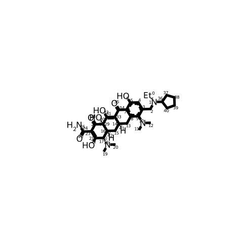 CCN(Cc1cc(O)c2c(c1N(C)C)C[C@H]1C[C@H]3[C@H](N(C)C)C(O)=C(C(N)=O)C(=O)[C@@]3(O)C(O)=C1C2=O)C1CCCC1